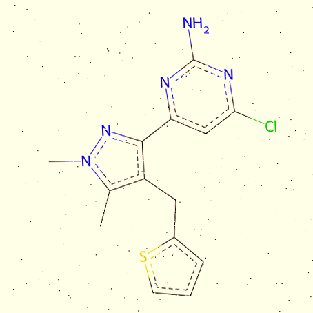 Cc1c(Cc2cccs2)c(-c2cc(Cl)nc(N)n2)nn1C